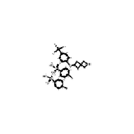 Cc1ccc(S(=O)(=O)O)cc1.Cc1ccc(S(=O)(=O)O)cc1.FC(F)(F)c1ccc(OC2CC3(CNC3)C2)cc1